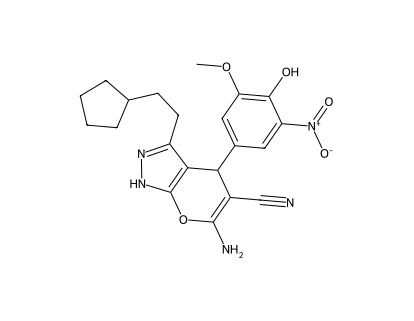 COc1cc(C2C(C#N)=C(N)Oc3[nH]nc(CCC4CCCC4)c32)cc([N+](=O)[O-])c1O